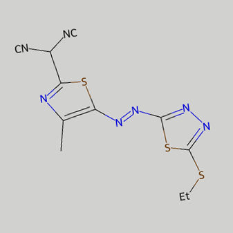 [C-]#[N+]C([N+]#[C-])c1nc(C)c(/N=N/c2nnc(SCC)s2)s1